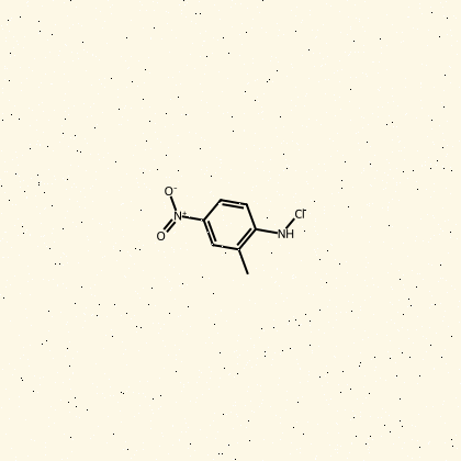 Cc1cc([N+](=O)[O-])ccc1NCl